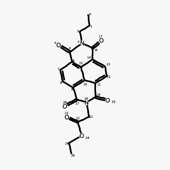 CCCN1C(=O)c2ccc3c4c(ccc(c24)C1=O)C(=O)N(CC(=O)OCC)C3=O